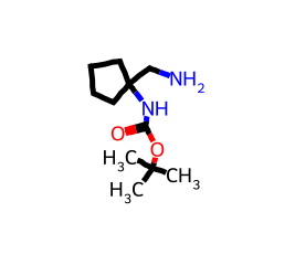 CC(C)(C)OC(=O)NC1(CN)CCCC1